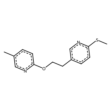 CSc1ccc(CCOc2ccc(C)cn2)cn1